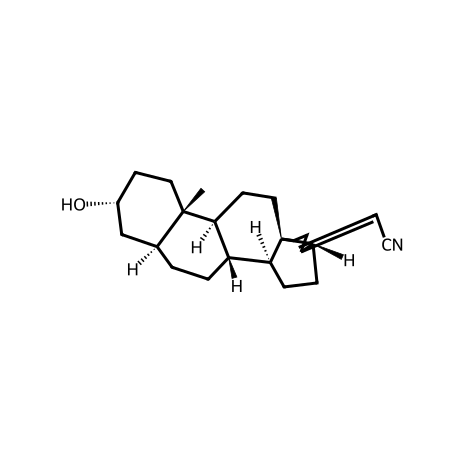 C[C@]12CC[C@@H](O)C[C@@H]1CC[C@@H]1[C@@H]2CC[C@]23CC/C(=C/C#N)[C@H]2CC[C@@H]13